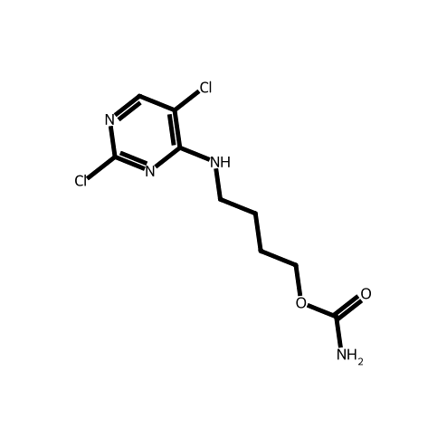 NC(=O)OCCCCNc1nc(Cl)ncc1Cl